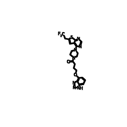 O=C(CCCOc1cccc2[nH]nnc12)N1CCN(c2ncnc3sc(CC(F)(F)F)cc23)CC1